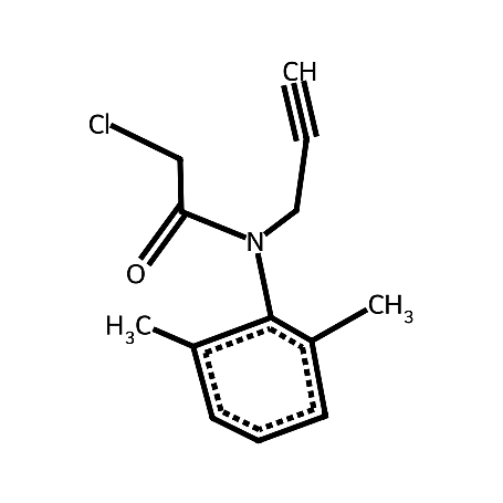 C#CCN(C(=O)CCl)c1c(C)cccc1C